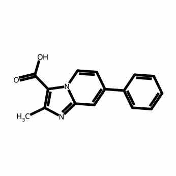 Cc1nc2cc(-c3ccccc3)ccn2c1C(=O)O